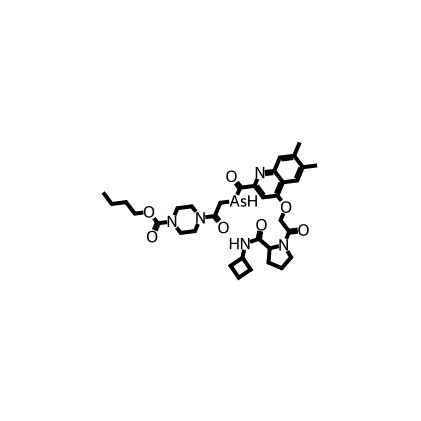 CCCCOC(=O)N1CCN(C(=O)C[AsH]C(=O)c2cc(OCC(=O)N3CCCC3C(=O)NC3CCC3)c3cc(C)c(C)cc3n2)CC1